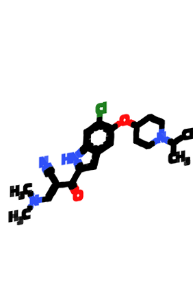 CC(C)N1CCC(Oc2cc3cc(C(=O)/C(C#N)=C/N(C)C)[nH]c3cc2Cl)CC1